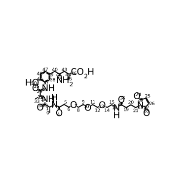 C[C@H](NC(=O)CCOCCOCCOCCNC(=O)CCCN1C(=O)C=CC1=O)C(=O)N[C@@H](C)C(=O)Nc1cc(C[C@H](N)C[C@H](C)C(=O)O)ccc1O